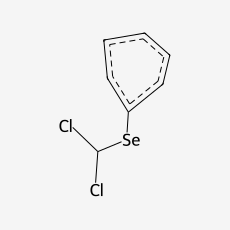 ClC(Cl)[Se]c1ccccc1